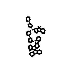 CC1(C)c2ccccc2-c2ccc(N(c3ccc(-c4ccccc4)cc3)c3cccc(-c4cccc(-n5c6ccccc6c6ccc7c(c65)-c5ccccc5C75c6ccccc6-c6ccccc65)c4)c3)cc21